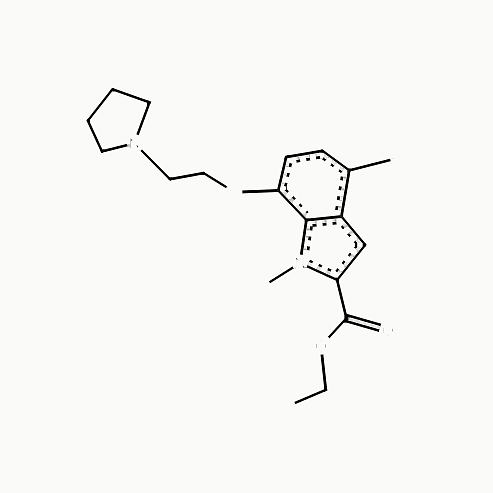 CCOC(=O)c1cc2c(Cl)ccc(OCCN3CCCC3)c2n1C